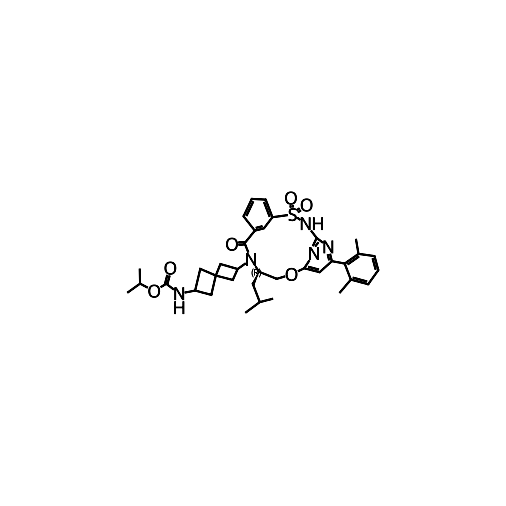 Cc1cccc(C)c1-c1cc2nc(n1)NS(=O)(=O)c1cccc(c1)C(=O)N(C1CC3(CC(NC(=O)OC(C)C)C3)C1)[C@H](CC(C)C)CO2